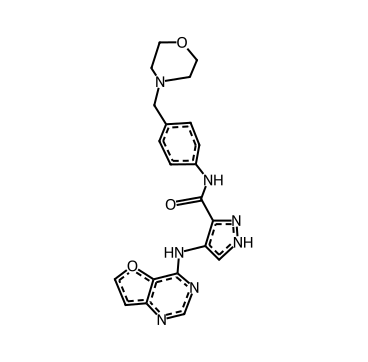 O=C(Nc1ccc(CN2CCOCC2)cc1)c1n[nH]cc1Nc1ncnc2ccoc12